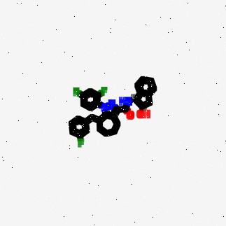 O=C(N[C@@H]1c2ccccc2C[C@@H]1O)c1nn(-c2ccc(F)cc2F)c2c1CCCCC2Cc1cccc(F)c1